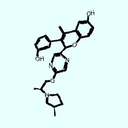 CC1=C(c2cccc(O)c2)C(c2cnc(OC[C@H](C)N3CC[C@@H](C)C3)cn2)Oc2ccc(O)cc21